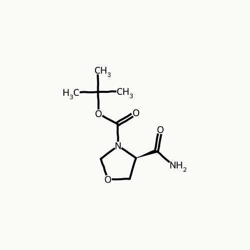 CC(C)(C)OC(=O)N1COC[C@@H]1C(N)=O